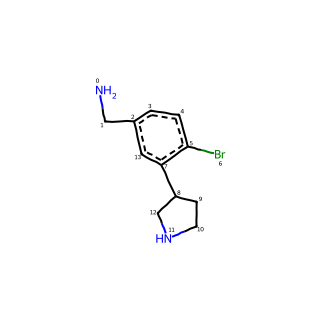 NCc1ccc(Br)c(C2CCNC2)c1